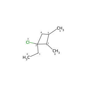 CCC1(Cl)CC(C)[C]1C